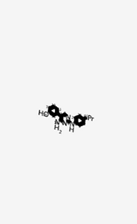 CC(C)c1ccc(Nc2ncc(-c3cccc(O)c3)c(N)n2)cc1